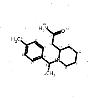 Cc1ccc(C(C)N2CCCCC2CC(N)=O)cc1